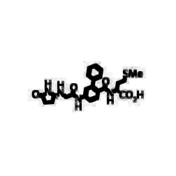 CSCC[C@H](NC(=O)c1ccc(NC(=O)CN[C@@H]2CCC(=O)N2)cc1-c1ccccc1)C(=O)O